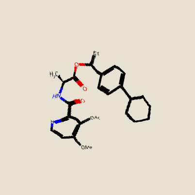 CCC(OC(=O)[C@H](C)NC(=O)c1nccc(OC)c1OC(C)=O)c1ccc(C2CCCCC2)cc1